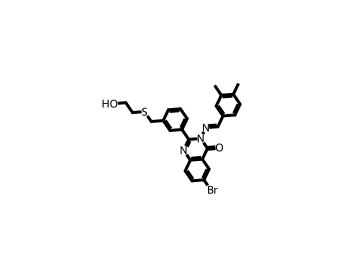 Cc1ccc(/C=N/n2c(-c3cccc(CSCCO)c3)nc3ccc(Br)cc3c2=O)cc1C